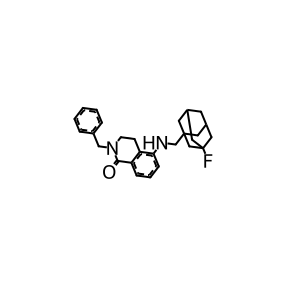 O=C1c2cccc(NCC34CC5CC(CC(F)(C5)C3)C4)c2CCN1Cc1ccccc1